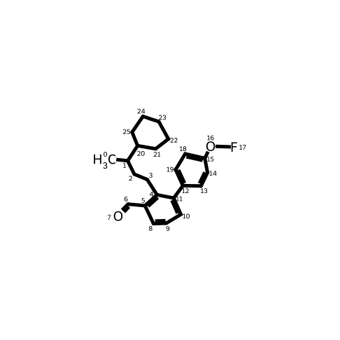 CC(CCc1c(C=O)cccc1-c1ccc(OF)cc1)C1CCCCC1